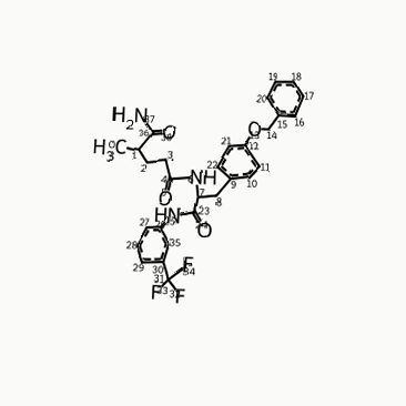 CC(C[CH]C(=O)NC(Cc1ccc(OCc2ccccc2)cc1)C(=O)Nc1cccc(C(F)(F)F)c1)C(N)=O